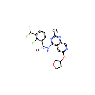 Cc1nc(N[C@H](C)c2cccc(C(F)F)c2F)c2cc(OC3CCOC3)ncc2n1